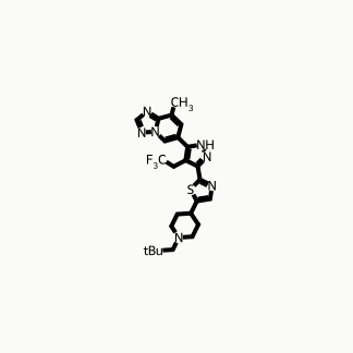 Cc1cc(-c2[nH]nc(-c3ncc(C4CCN(CC(C)(C)C)CC4)s3)c2CC(F)(F)F)cn2ncnc12